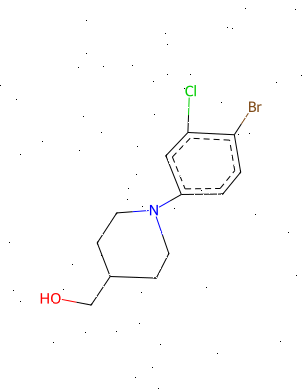 OCC1CCN(c2ccc(Br)c(Cl)c2)CC1